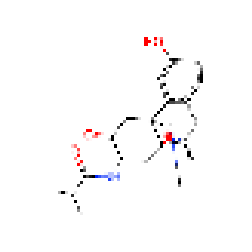 CC(C)C(=O)N[C@H]1C[C@@]2(O)[C@H]3Cc4ccc(O)cc4C2(CCN3C)CC1=O